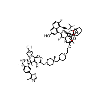 Cc1ncsc1-c1ccc([C@H](C)NC(=O)[C@@H]2C[C@@H](O)CN2C(=O)[C@@H](NC(=O)CN2CCC(F)(CC3CCN(CCOc4nc(N5CC6CCC(C5)N6C(=O)OC(C)(C)C)c5cnc(-c6cc(O)cc7ccc(F)c(C#C[Si](C(C)C)(C(C)C)C(C)C)c67)c(F)c5n4)CC3)CC2)C(C)(C)C)cc1